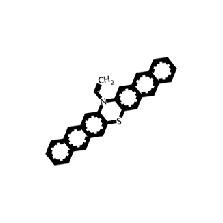 C=CN1c2cc3cc4ccccc4cc3cc2Sc2cc3cc4ccccc4cc3cc21